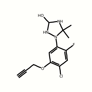 C#CCOc1cc(N2NC(O)NC2(C)C)c(F)cc1Cl